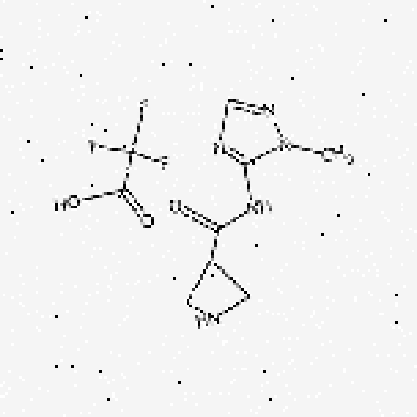 Cn1ncnc1NC(=O)C1CNC1.O=C(O)C(F)(F)F